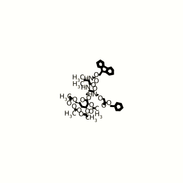 CC(=O)OC[C@H]1O[C@@H](OC[C@H](NC(=O)[C@@H](NC(=O)OCC2c3ccccc3-c3ccccc32)C(C)C)C(=O)NCOCC(=O)OCc2ccccc2)[C@H](OC(C)=O)[C@@H](OC(C)=O)[C@H]1OC(C)=O